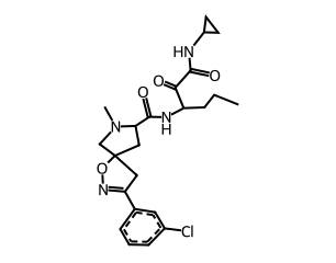 CCCC(NC(=O)C1CC2(CC(c3cccc(Cl)c3)=NO2)CN1C)C(=O)C(=O)NC1CC1